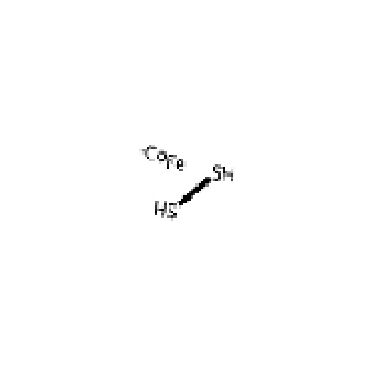 SS.[Co].[Fe]